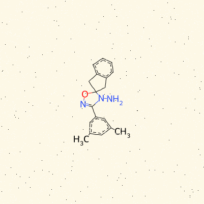 Cc1cc(C)cc(C2=NOC3(Cc4ccccc4C3)N2N)c1